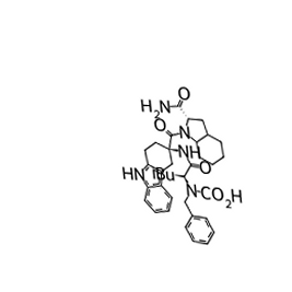 CC[C@H](C)[C@@H](C(=O)N[C@]1(C(=O)N2C3CCCCC3C[C@H]2C(N)=O)CCc2[nH]c3ccccc3c2C1)N(Cc1ccccc1)C(=O)O